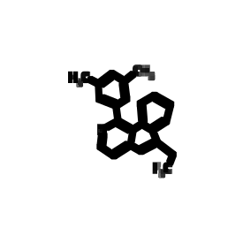 Cc1cc(C)cc(-c2nccc3cc(CC(F)(F)F)c4ccccc4c23)c1